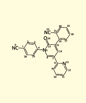 N#Cc1ccc(-n2cc(-c3ccccn3)cc(-c3ccccc3C#N)c2=O)cc1